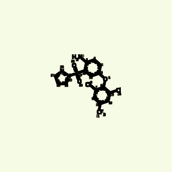 Nc1ccc(Oc2c(Cl)cc(C(F)(F)F)cc2Cl)cc1S(=O)(=O)n1cccn1